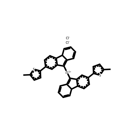 Cc1ccc(-c2ccc3c(c2)[C]([Zr+2][C]2=C4C=CC=CC4c4ccc(-c5ccc(C)s5)cc42)=C2C=CC=CC23)s1.[Cl-].[Cl-]